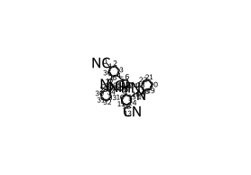 N#Cc1ccc(-c2ccc(-c3ccc(C#N)cc3-c3nc4ccccc4[nH]3)o2)c(-c2nc3ccccc3[nH]2)c1